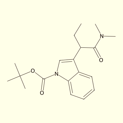 CCC(C(=O)N(C)C)c1cn(C(=O)OC(C)(C)C)c2ccccc12